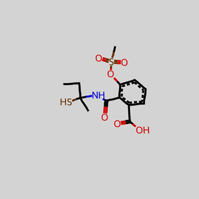 CCC(C)(S)NC(=O)c1c(OS(C)(=O)=O)cccc1C(=O)O